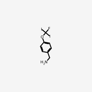 NCc1ccc(OC(F)(I)I)cc1